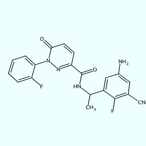 CC(NC(=O)c1ccc(=O)n(-c2ccccc2F)n1)c1cc(N)cc(C#N)c1F